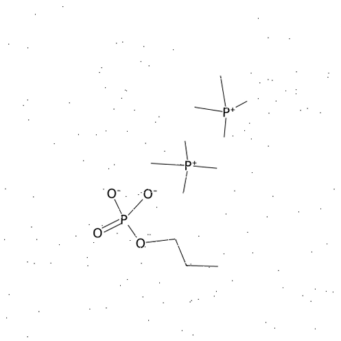 CCCOP(=O)([O-])[O-].C[P+](C)(C)C.C[P+](C)(C)C